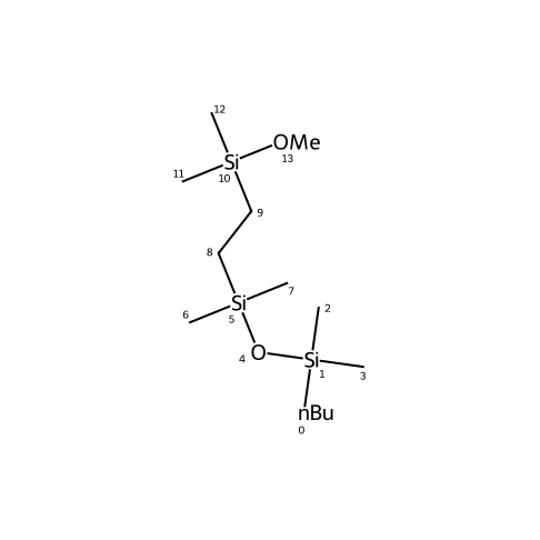 CCCC[Si](C)(C)O[Si](C)(C)CC[Si](C)(C)OC